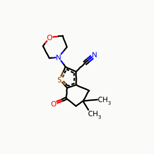 CC1(C)CC(=O)c2sc(N3CCOCC3)c(C#N)c2C1